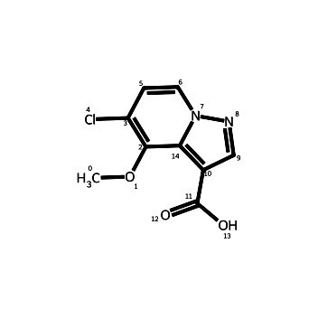 COc1c(Cl)ccn2ncc(C(=O)O)c12